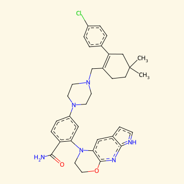 CC1(C)CCC(CN2CCN(c3ccc(C(N)=O)c(N4CCOc5nc6[nH]ccc6cc54)c3)CC2)=C(c2ccc(Cl)cc2)C1